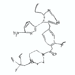 CCc1ncnc(-c2ccc(C(=O)N3CCN(CC(F)(F)F)CC3)c(F)c2)c1-c1ccc(N)nc1